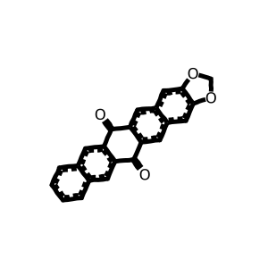 O=C1c2cc3ccccc3cc2C(=O)c2cc3cc4c(cc3cc21)OCO4